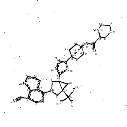 N#Cc1ccc(N2C[C@]3(c4nnc(C56CCC(NC(=O)[C@@H]7COCCN7)(CC5)CC6)o4)C[C@]3(C(F)(F)F)C2)c2cccnc12